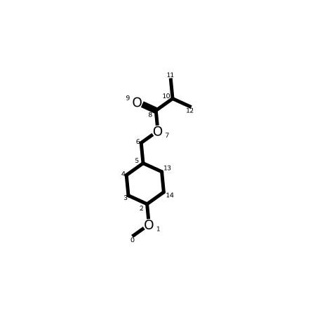 COC1CCC(COC(=O)C(C)C)CC1